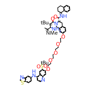 CN[C@@H](C)C(N)[C@@H](C(=O)N1Cc2cc(OCCOCCOCCOCCOc3cc4nccc(Nc5ccc6scnc6c5)c4cc3S(=O)(=O)C(C)(C)C)ccc2C[C@H]1C(=O)N[C@H]1CCCc2ccccc21)C(C)(C)C